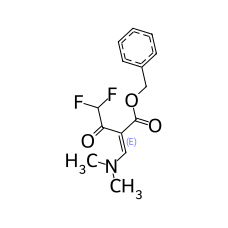 CN(C)/C=C(/C(=O)OCc1ccccc1)C(=O)C(F)F